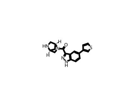 O=C(c1n[nH]c2ccc(-c3ccsc3)cc12)N1C[C@@H]2C[C@H]1CN2